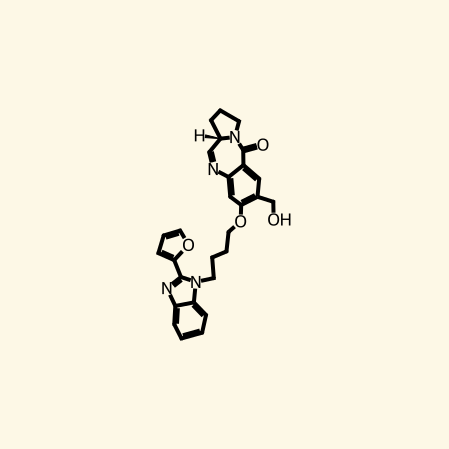 O=C1c2cc(CO)c(OCCCCn3c(-c4ccco4)nc4ccccc43)cc2N=C[C@@H]2CCCN12